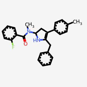 Cc1ccc(C2=C(Cc3ccccc3)NC(N(C)C(=O)c3ccccc3F)C2)cc1